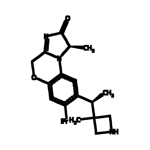 CC(C)c1cc2c(cc1[C@@H](C)C1(C)CNC1)N1C(=NC(=O)[C@H]1C)CO2